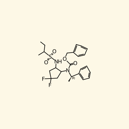 CCC(C)S(=O)(=O)NC1CC(F)(F)CC1N(C(=O)OCc1ccccc1)[C@H](C)c1ccccc1